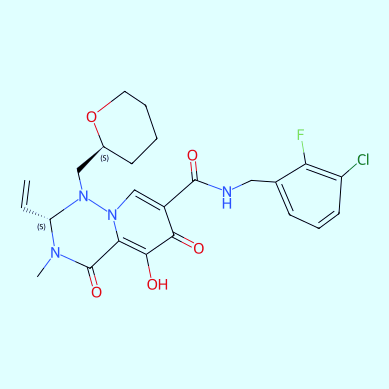 C=C[C@H]1N(C)C(=O)c2c(O)c(=O)c(C(=O)NCc3cccc(Cl)c3F)cn2N1C[C@@H]1CCCCO1